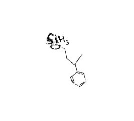 CC(CCO[SiH3])c1ccccc1